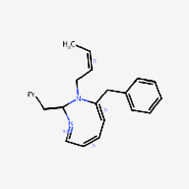 C/C=C\CN1\C(Cc2ccccc2)=C/C=C\C=N\C1CC(C)C